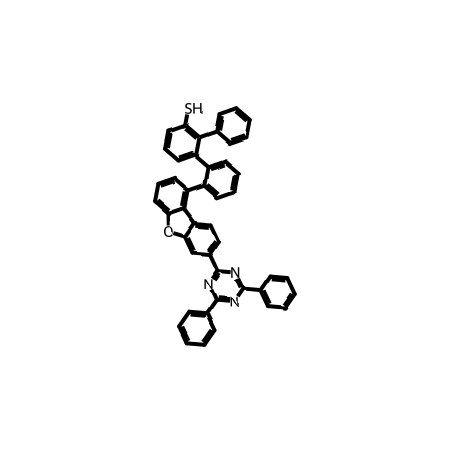 Sc1cccc(-c2ccccc2-c2cccc3oc4cc(-c5nc(-c6ccccc6)nc(-c6ccccc6)n5)ccc4c23)c1-c1ccccc1